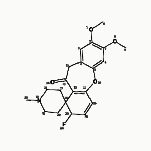 COc1cc2c(cc1OC)OC1=C(C(=O)C2)C2(CCN(C)CC2)C(F)C=C1